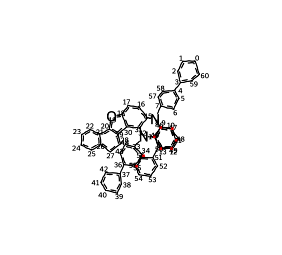 c1ccc(-c2ccc(N(c3ccccc3)c3ccc4oc5c6ccccc6ccc5c4c3N(c3ccc(-c4ccccc4)cc3)c3ccccc3-c3ccccc3)cc2)cc1